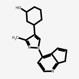 Cc1nn(-c2ccnc3c2C=CC3)cc1C1CCCC(O)C1